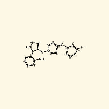 Nc1ncccc1N1NNC=C1Cc1ccc(Oc2cccc(F)n2)cc1